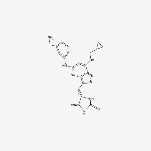 NCc1cccc(Nc2cc(NCC3CC3)n3ncc(/C=C4\NC(=O)NC4=O)c3n2)c1